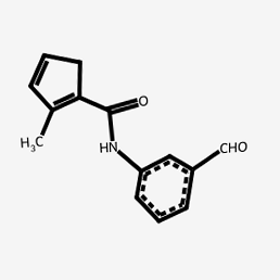 CC1=C(C(=O)Nc2cccc(C=O)c2)CC=C1